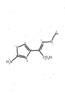 CCOC(=O)C(=NOC(C)C)c1csc(N)n1